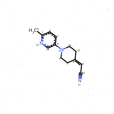 Cc1ccc(N2CCC(=CC#N)CC2)cn1